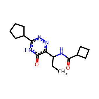 CCC(NC(=O)C1CCC1)c1nnc(C2CCCC2)[nH]c1=O